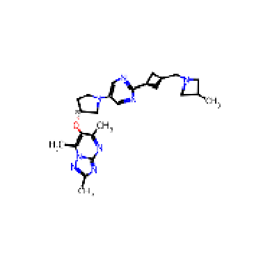 Cc1nc2nc(C)c(O[C@@H]3CCN(c4cnc(C56CC(CN7CC(C)C7)(C5)C6)nc4)C3)c(C)n2n1